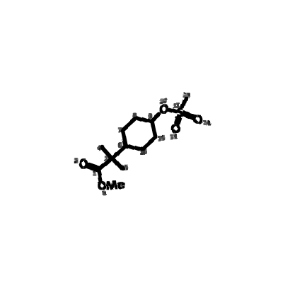 COC(=O)C(C)(C)C1CCC(OS(C)(=O)=O)CC1